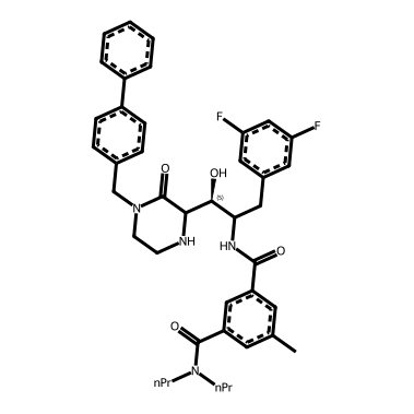 CCCN(CCC)C(=O)c1cc(C)cc(C(=O)NC(Cc2cc(F)cc(F)c2)[C@H](O)C2NCCN(Cc3ccc(-c4ccccc4)cc3)C2=O)c1